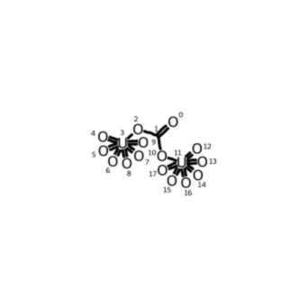 O=C([O][U](=[O])(=[O])(=[O])(=[O])(=[O])=[O])[O][U](=[O])(=[O])(=[O])(=[O])(=[O])=[O]